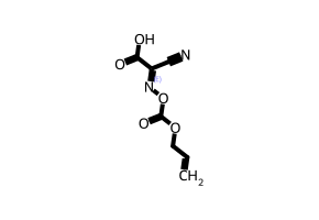 C=CCOC(=O)O/N=C(\C#N)C(=O)O